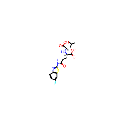 CC(C)C[C@H](N[C@@H](CCC(=O)Nc1nc2ccc(F)cc2s1)C(=O)O)C(=O)O